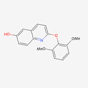 COc1cccc(OC)c1Oc1ccc2cc(O)ccc2n1